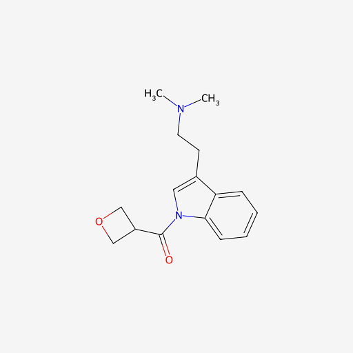 CN(C)CCc1cn(C(=O)C2COC2)c2ccccc12